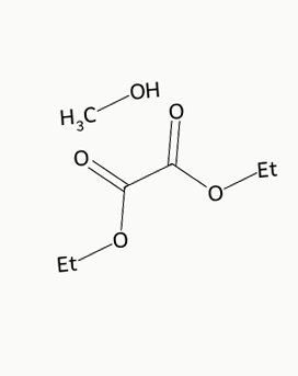 CCOC(=O)C(=O)OCC.CO